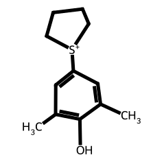 Cc1cc([S+]2CCCC2)cc(C)c1O